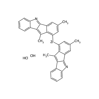 CC1=C2C(=Nc3ccccc32)c2cc(C)c[c]([Zr][c]3cc(C)cc4c3C(C)=C3C4=Nc4ccccc43)c21.Cl.Cl